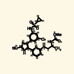 COC(=O)NC(C)CNc1nccc(-c2[nH]c(C(C)(C)C)nc2-c2cc(Cl)cc(NS(=O)(=O)C3CC3)c2)n1